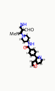 CN/C(=C(\C=N)C=O)N1CCC(NC(=O)c2ccc(-c3nccc4occc34)cc2)CC1